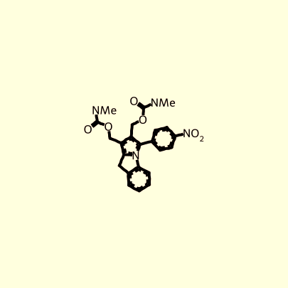 CNC(=O)OCc1c(COC(=O)NC)c(-c2ccc([N+](=O)[O-])cc2)n2c1Cc1ccccc1-2